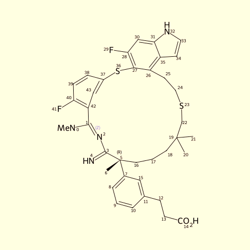 CN/C1=N\C(=N)[C@@](C)(c2cccc(CCC(=O)O)c2)CCCC(C)(C)CSCCc2c(c(F)cc3[nH]ccc23)Sc2ccc(F)c1c2